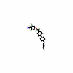 CC/C=C/CC1CCC(c2ccc(C(F)(F)Oc3cc(F)c(C#N)c(F)c3)cc2)CC1